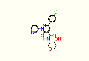 O=C(N[C@H]1COCC[C@H]1O)c1cc(-c2ccc(Cl)cc2)nn(-c2cccnc2)c1=O